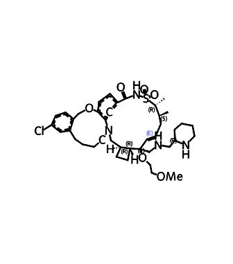 COCCO[C@@]1(CNC[C@H]2CCCCN2)/C=C/C[C@H](C)[C@@H](C)S(=O)(=O)NC(=O)c2ccc3c(c2)N(CCCCc2cc(Cl)ccc2CO3)C[C@@H]2CC[C@H]21